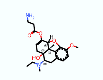 CCN(C)[C@@H]1Cc2ccc(OC)c3c2[C@@]2(C)[C@@H](O3)C(OC(=O)CCN)=CC[C@@]12O